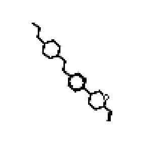 C=CC1CCC(c2ccc(CCC3CCC(CCC)CC3)cc2)CO1